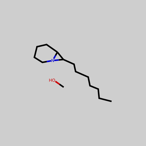 CCCCCCCC1C2CCCCN12.CO